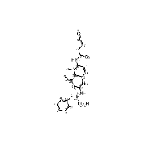 Cc1c(NC(=O)CC=C=O)ccc2nc(N[C@@H](Cc3ccccc3)C(=O)O)oc(=O)c12